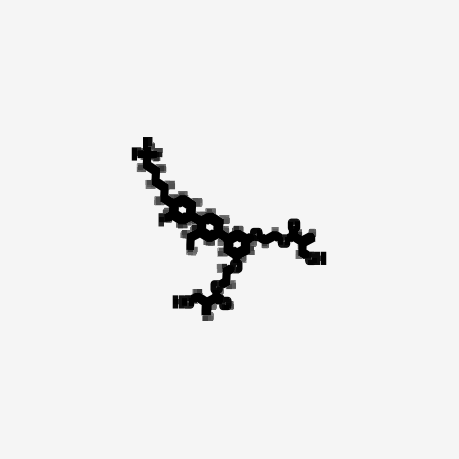 C=C(CO)C(=O)OCCOc1cc(OCCOC(=O)C(=C)CO)cc(-c2ccc(-c3ccc(CCCCCC(F)(F)F)c(F)c3)c(CC)c2)c1